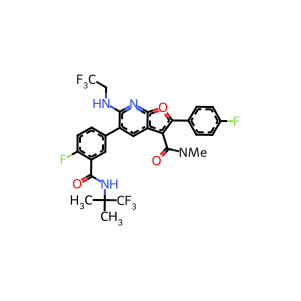 CNC(=O)c1c(-c2ccc(F)cc2)oc2nc(NCC(F)(F)F)c(-c3ccc(F)c(C(=O)NC(C)(C)C(F)(F)F)c3)cc12